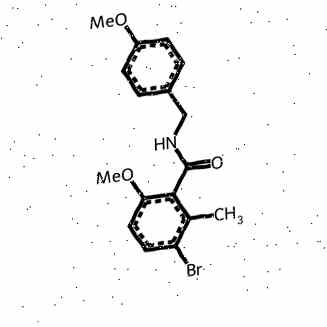 COc1ccc(CNC(=O)c2c(OC)ccc(Br)c2C)cc1